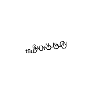 CC(C)(C)OC(=O)N1CCN(c2ccc(-c3ccc(C45CCCN(CCC4)C5)cn3)cn2)CC1